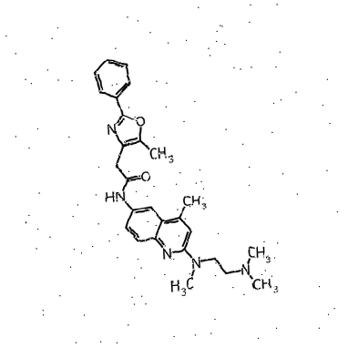 Cc1oc(-c2ccccc2)nc1CC(=O)Nc1ccc2nc(N(C)CCN(C)C)cc(C)c2c1